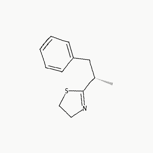 C[C@@H](Cc1ccccc1)C1=NCCS1